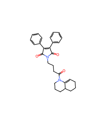 O=C(CCCN1C(=O)C(c2ccccc2)=C(c2ccccc2)C1=O)N1CCCC2CCCC=C21